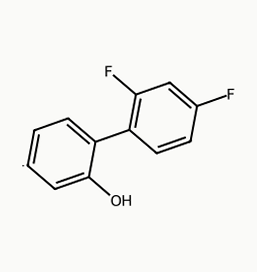 Oc1c[c]ccc1-c1ccc(F)cc1F